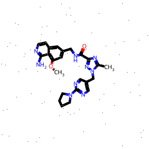 COc1cc(CNC(=O)c2nc(C)n(Cc3cnc(N4CCCC4)nc3)n2)cc2ccnc(N)c12